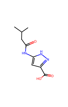 CC(C)CC(=O)Nc1cc(C(=O)O)n[nH]1